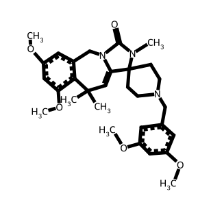 COc1cc(CN2CCC3(CC2)C2=CC(C)(C)c4c(cc(OC)cc4OC)CN2C(=O)N3C)cc(OC)c1